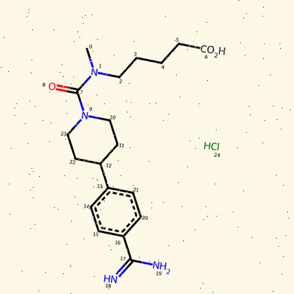 CN(CCCCC(=O)O)C(=O)N1CCC(c2ccc(C(=N)N)cc2)CC1.Cl